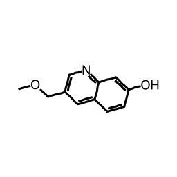 COCc1cnc2cc(O)ccc2c1